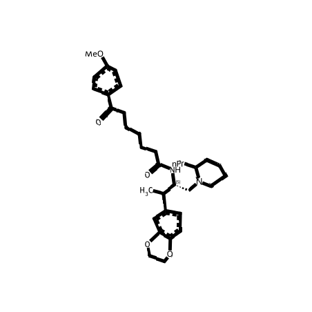 CCCC1CCCCN1C[C@@H](NC(=O)CCCCCC(=O)c1ccc(OC)cc1)C(C)c1ccc2c(c1)OCCO2